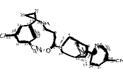 C[C@H]1CC2CN(C(=O)CCNC3(c4cc(Cl)cc(C#N)c4)CC3)CC1N2c1ccc(C#N)cn1